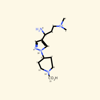 CN(C)CCC(N)c1cnn(C2CCN(C(=O)O)CC2)c1